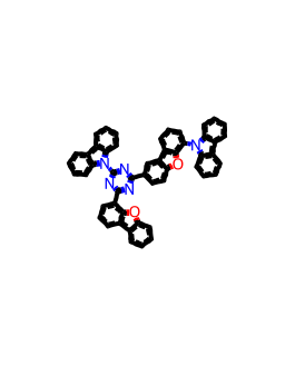 c1ccc2c(c1)oc1c(-c3nc(-c4ccc5oc6c(-n7c8ccccc8c8ccccc87)cccc6c5c4)nc(-n4c5ccccc5c5ccccc54)n3)cccc12